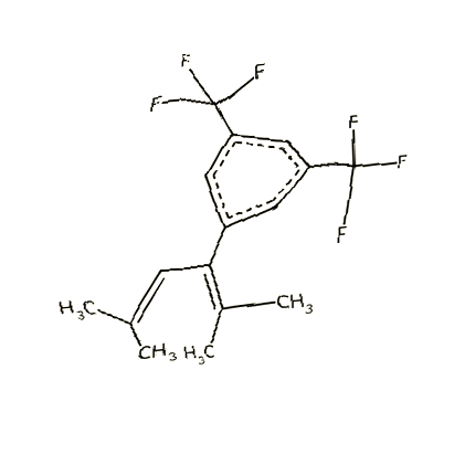 CC(C)=CC(=C(C)C)c1cc(C(F)(F)F)cc(C(F)(F)F)c1